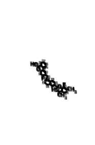 Cc1ccc(C(C)NC(=O)c2ccc3c(c2)CCCN3Cc2cc(-c3ccccc3C(=O)O)ccc2F)cc1F